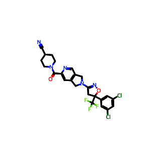 N#CC1CCN(C(=O)c2cc3c(cn2)CN(C2=NOC(c4cc(Cl)cc(Cl)c4)(C(F)(F)F)C2)C3)CC1